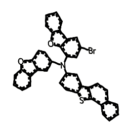 Brc1cc(N(c2ccc3oc4ccccc4c3c2)c2ccc3sc4c5ccccc5ccc4c3c2)c2oc3ccccc3c2c1